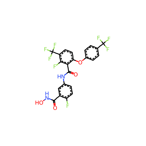 O=C(NO)c1cc(NC(=O)c2c(Oc3ccc(C(F)(F)F)cc3)ccc(C(F)(F)F)c2F)ccc1F